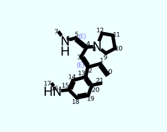 C=C/C(=C\C(=C/NC)N1CCCC1)c1cc(NC)ccc1C